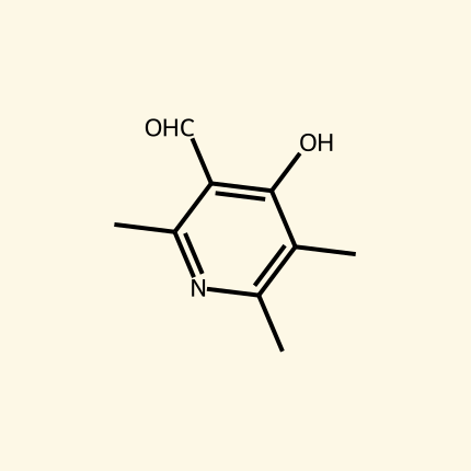 Cc1nc(C)c(C=O)c(O)c1C